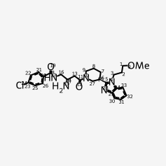 COCCCn1c([C@@H]2CCCN(C(=O)C[C@H](N)CNC(=O)c3ccc(Cl)cc3)C2)nc2ccccc21